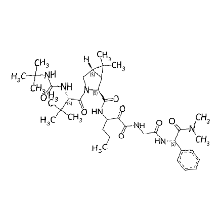 CCCC(NC(=O)[C@@H]1C2[C@H](CN1C(=O)[C@@H](NC(=O)NC(C)(C)C)C(C)(C)C)C2(C)C)C(=O)C(=O)NCC(=O)N[C@H](C(=O)N(C)C)c1ccccc1